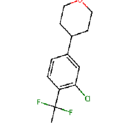 [CH2]C(F)(F)c1ccc(C2CCOCC2)cc1Cl